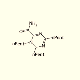 CCCCCC1=NC(CCCCC)N(CCCCC)C(C(N)=O)=N1